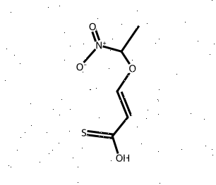 CC(OC=CC(O)=S)[N+](=O)[O-]